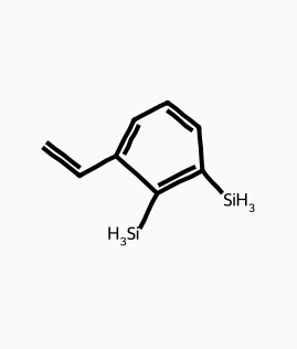 C=Cc1cccc([SiH3])c1[SiH3]